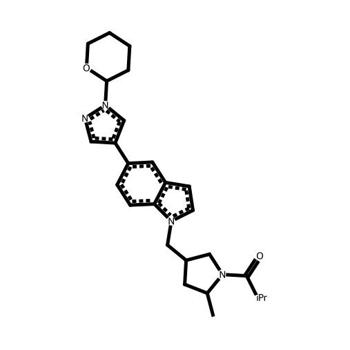 CC(C)C(=O)N1CC(Cn2ccc3cc(-c4cnn(C5CCCCO5)c4)ccc32)CC1C